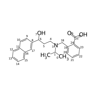 CC(C)N(CCC(O)c1ccc2ccccc2c1)Cc1ccccc1C(=O)O